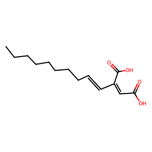 CCCCCCCC/C=C/C(=C/C(=O)O)C(=O)O